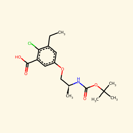 CCc1cc(OC[C@H](C)NC(=O)OC(C)(C)C)cc(C(=O)O)c1Cl